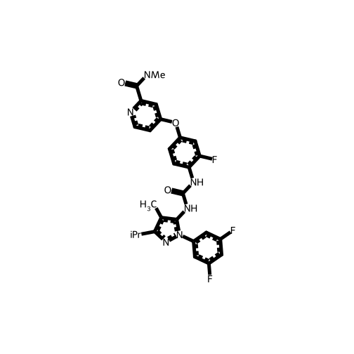 CNC(=O)c1cc(Oc2ccc(NC(=O)Nc3c(C)c(C(C)C)nn3-c3cc(F)cc(F)c3)c(F)c2)ccn1